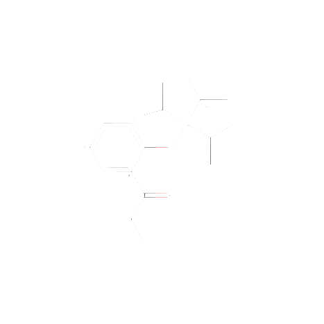 CCC(=O)c1ccccc1O[Si](C(C)C)(C(C)C)C(C)C